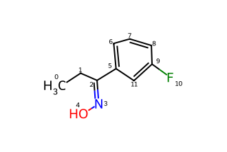 CCC(=NO)c1cccc(F)c1